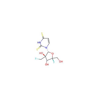 OC[C@@]1(F)O[C@@H](n2ccc(=S)[nH]c2=S)[C@@](O)(CF)C1O